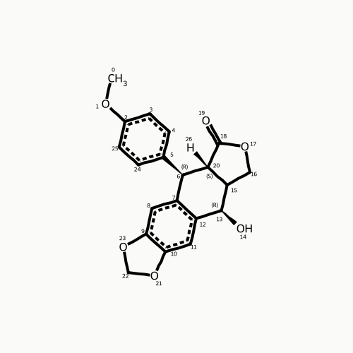 COc1ccc([C@@H]2c3cc4c(cc3[C@H](O)C3COC(=O)[C@H]32)OCO4)cc1